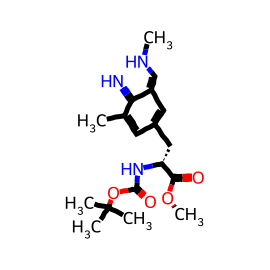 CN/C=C1/C=C(C[C@@H](NC(=O)OC(C)(C)C)C(=O)OC)C=C(C)C1=N